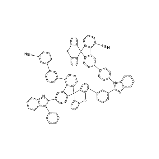 N#Cc1cccc(-c2cccc(-c3cccc4c3-c3cc(-c5nc6ccccc6n5-c5ccccc5)ccc3C43c4ccccc4Sc4c(-c5cccc(-c6nc7ccccc7n6-c6ccc(-c7ccc8c(c7)-c7c(C#N)cccc7C87c8ccccc8Sc8ccccc87)cc6)c5)cccc43)c2)c1